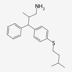 CC(C)CCSc1ccc(C(c2ccccc2)C(C)CN)cc1